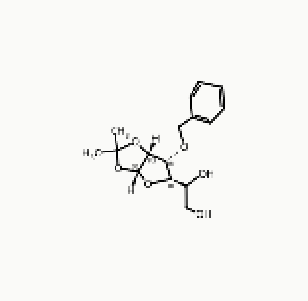 CC1(C)O[C@H]2O[C@H](C(O)CO)[C@@H](OCc3ccccc3)[C@H]2O1